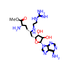 COC(=O)[C@@H](N)CC[C@@H](C[C@H]1O[C@@H](n2cnc3c(N)ncnc32)C(O)[C@H]1O)NCCNC(=N)N